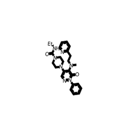 CCNC(=O)N1CCN(c2cnn(-c3ccccc3)c(=O)c2N(C)CCc2ccccn2)CC1